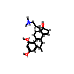 COc1cc(OC)c2c(c1)C(C)CC1=C2CC[C@]2(CCCN(C)C)C(=O)CC=C12